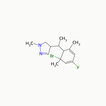 CC1=CC(F)=CC(C)(Br)C1C(C)C1C=NN(C)C1